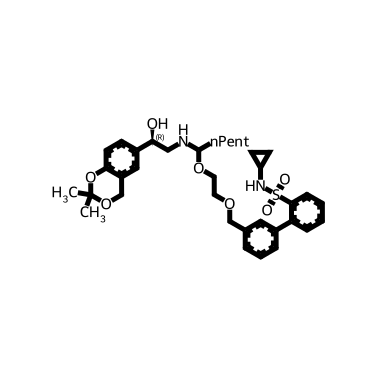 CCCCCC(NC[C@H](O)c1ccc2c(c1)COC(C)(C)O2)OCCOCc1cccc(-c2ccccc2S(=O)(=O)NC2CC2)c1